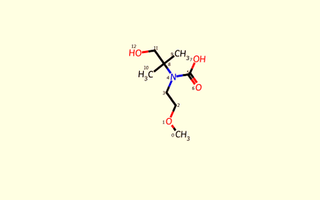 COCCN(C(=O)O)C(C)(C)CO